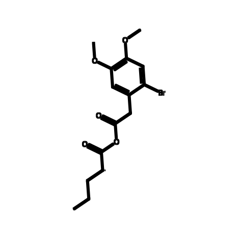 CCC[CH]C(=O)OC(=O)Cc1cc(OC)c(OC)cc1Br